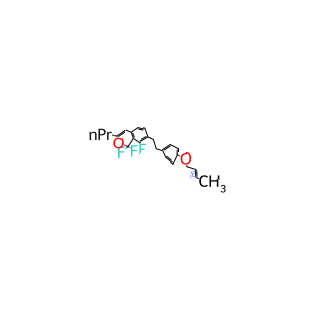 C/C=C/COc1ccc(CCc2ccc3c(c2F)C(F)(F)OC(CCC)=C3)cc1